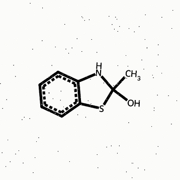 CC1(O)Nc2ccccc2S1